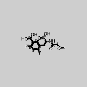 CSCC(=O)N[C@H]1Cc2c(F)cc(F)c(C(O)O)c2OB1O